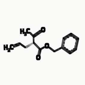 C=CC[C@H](C(C)=O)C(=O)OCc1ccccc1